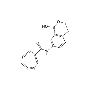 O=C(Nc1ccc2c(c1)B(O)OCC2)C1=CN=C=CC=C1